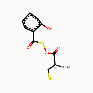 CC(=O)N[C@@H](CS)C(=O)OSC(=O)c1ccccc1O